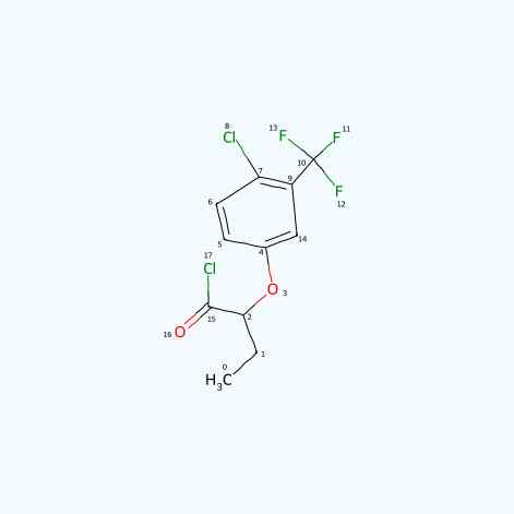 CCC(Oc1ccc(Cl)c(C(F)(F)F)c1)C(=O)Cl